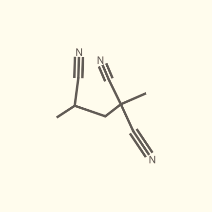 CC(C#N)CC(C)(C#N)C#N